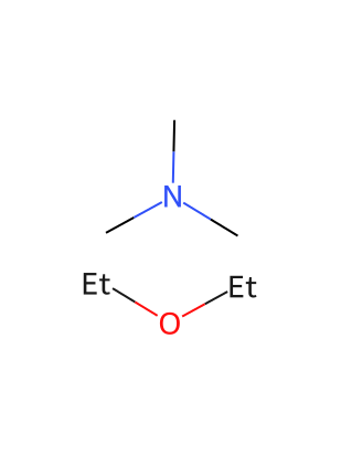 CCOCC.CN(C)C